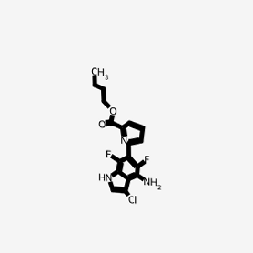 CCCCOC(=O)c1cccc(-c2c(F)c(N)c3c(Cl)c[nH]c3c2F)n1